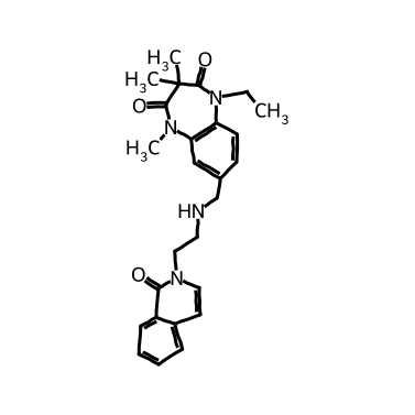 CCN1C(=O)C(C)(C)C(=O)N(C)c2cc(CNCCn3ccc4ccccc4c3=O)ccc21